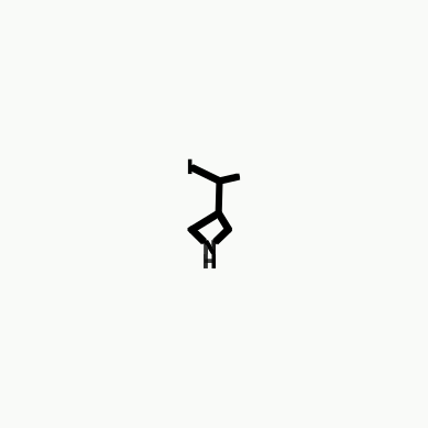 CC(I)C1CNC1